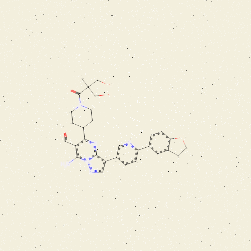 CC(CO)(CO)C(=O)N1CCC(c2nc3c(-c4ccc(-c5ccc6c(c5)CCO6)nc4)cnn3c(N)c2C=O)CC1